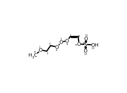 COCCOOO/C=C\OS(=O)(=O)O